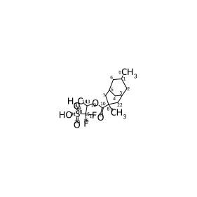 CC1CC2CC(C1)CC(C)(C(=O)OC(C)C(F)(F)S(=O)(=O)O)C2